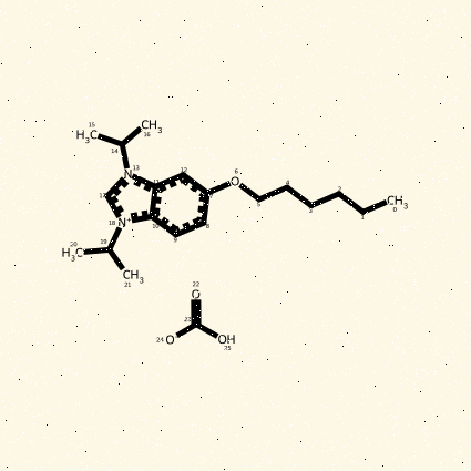 CCCCCCOc1ccc2c(c1)n(C(C)C)c[n+]2C(C)C.O=C([O-])O